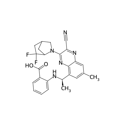 Cc1cc([C@@H](C)Nc2ccccc2C(=O)O)c2nc(N3CC4CC3C(F)(F)C4)c(C#N)nc2c1